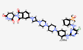 COc1cc(N2CCC(N3CCN(C4CN(c5ccc6c(c5)C(=O)N(C5CCC(=O)NC5=O)C6=O)C4)CC3)CC2)ccc1Nc1ncc(Cl)c(Nc2ccccc2P(C)(C)=O)n1